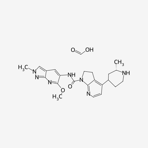 COc1nc2nn(C)cc2cc1NC(=O)N1CCc2c(C3CCN[C@@H](C)C3)ccnc21.O=CO